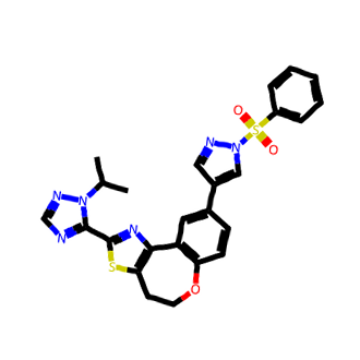 CC(C)n1ncnc1-c1nc2c(s1)CCOc1ccc(-c3cnn(S(=O)(=O)c4ccccc4)c3)cc1-2